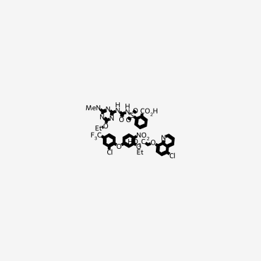 CCOc1cc(Oc2ccc(C(F)(F)F)cc2Cl)ccc1[N+](=O)[O-].CCOc1nc(NC)nc(NC(=O)NS(=O)(=O)c2ccccc2C(=O)O)n1.O=C(O)COc1ccc(Cl)c2cccnc12